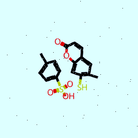 Cc1cc2ccc(=O)oc2cc1S.Cc1ccc(S(=O)(=O)O)cc1